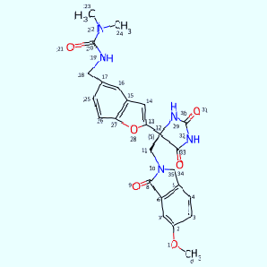 COc1ccc2c(c1)C(=O)N(C[C@@]1(c3cc4cc(CNC(=O)N(C)C)ccc4o3)NC(=O)NC1=O)C2